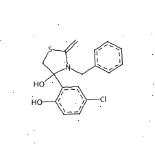 C=C1SCC(O)(c2cc(Cl)ccc2O)N1Cc1ccccc1